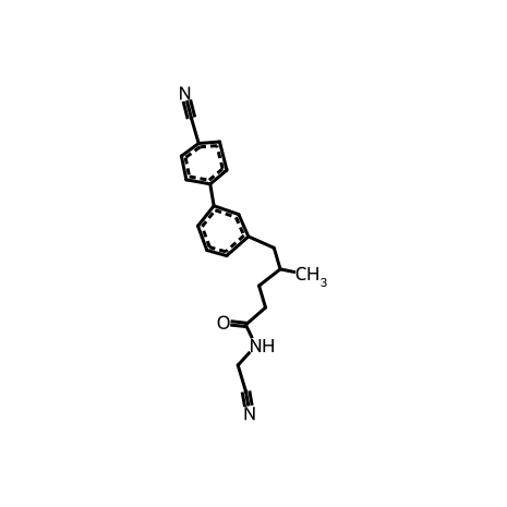 CC(CCC(=O)NCC#N)Cc1cccc(-c2ccc(C#N)cc2)c1